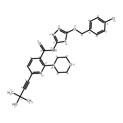 CC(C)(O)C#Cc1ccc(C(=O)Nc2nnc(OCc3ccc(Cl)cc3)s2)c(N2CCOCC2)n1